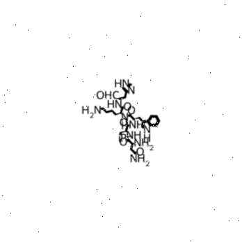 CC(C)C[C@H](NC(=O)[C@@H](N)CC(N)=O)C(=O)N[C@H](Cc1c[nH]c2ccccc12)C(=O)N[C@@H](CCCCN)C(=O)N[C@H]([C]=O)Cc1c[nH]cn1